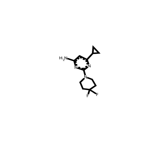 Nc1cc(C2CC2)nc(N2CCC(F)(F)CC2)n1